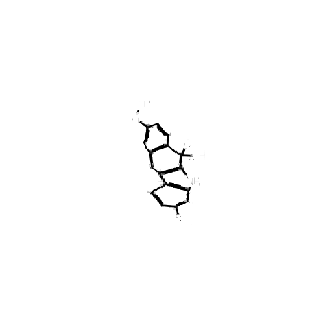 COc1ccc2c(c1)Cc1c([nH]c3cc(N)ccc13)C2(C)C